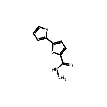 NNC(=O)c1ccc(-c2cccs2)s1